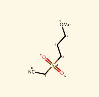 COCCCS(=O)(=O)CC#N